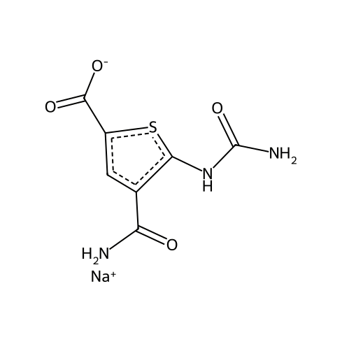 NC(=O)Nc1sc(C(=O)[O-])cc1C(N)=O.[Na+]